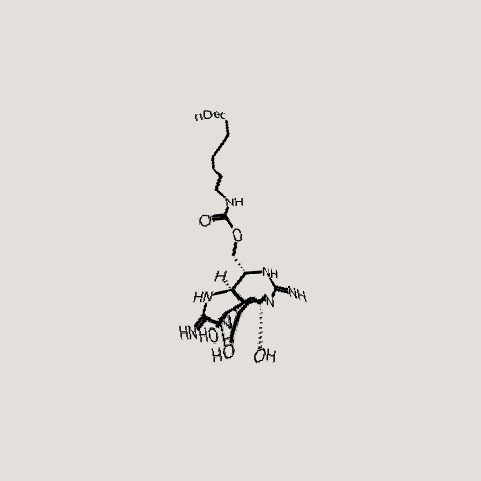 CCCCCCCCCCCCCCNC(=O)OC[C@@H]1NC(=N)N2C[C@H](O)C(O)(O)[C@@]23NC(=N)N[C@@H]13